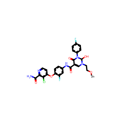 CC(C)OCCN1C=C(C(=O)Nc2ccc(Oc3ccnc(C(N)=O)c3Cl)c(F)c2)C(=O)N(c2ccc(F)cc2)C1O